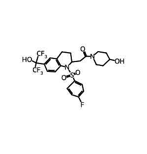 O=C(CC1CCc2cc(C(O)(C(F)(F)F)C(F)(F)F)ccc2N1S(=O)(=O)c1ccc(F)cc1)N1CCC(O)CC1